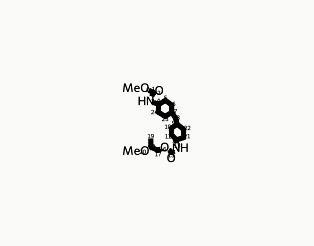 COC(=O)NC1CCC(CC2CCC(NC(=O)OCC(C)OC)CC2)CC1